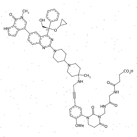 COc1ccc(C#CCNC2(C)CCN(C3CCN(c4nc([C@@](CO)(OC5CC5)c5ccccc5)c5cc(-c6cn(C)c(=O)c7[nH]ccc67)ccc5n4)CC3)CC2)cc1N1CCC(=O)N(CNC(=O)CNC(=O)CCC(=O)O)C1=O